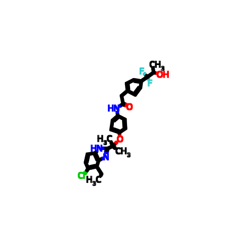 CCc1c(Cl)ccc2[nH]c(C(C)(C)Oc3ccc(NC(=O)Cc4ccc(C(F)(F)C(C)O)cc4)cc3)nc12